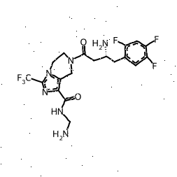 NCNC(=O)c1nc(C(F)(F)F)n2c1CN(C(=O)C[C@H](N)Cc1cc(F)c(F)cc1F)CC2